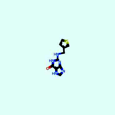 O=c1[nH]c(NCc2ccsc2)nc2nc[nH]c12